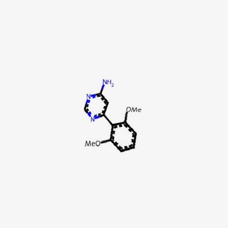 COc1cccc(OC)c1-c1cc(N)ncn1